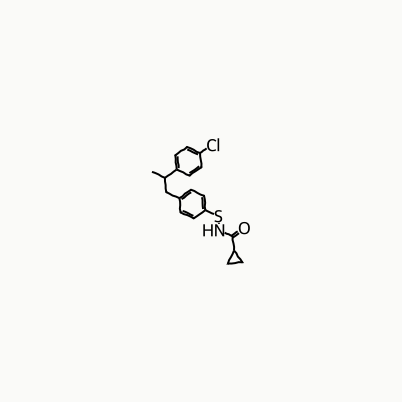 CC(Cc1ccc(SNC(=O)C2CC2)cc1)c1ccc(Cl)cc1